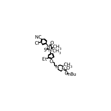 CCCCOC(=O)N1CCN(CCOc2ccc(N3C(=S)N(c4ccc(C#N)c(Cl)c4)C(=O)C3(C)C)cc2CC)C[C@@H]1C